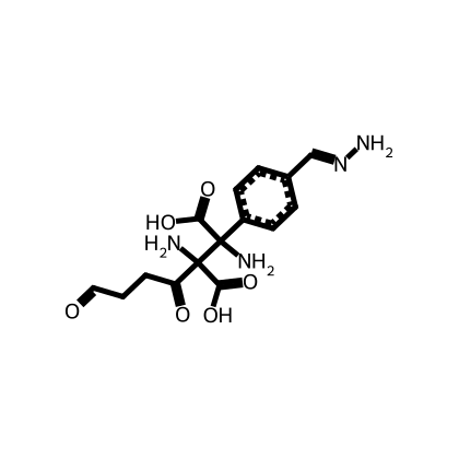 NN=Cc1ccc(C(N)(C(=O)O)C(N)(C(=O)O)C(=O)CCC=O)cc1